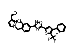 O=Cc1ccn(Cc2ccc(-c3noc(-c4cc(-c5ccccc5)c(C(F)(F)F)s4)n3)cc2Cl)n1